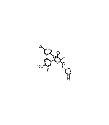 Cc1c(OC[C@H]2CCNC2)nc(-c2ccc(C#N)c(F)c2)n(-c2ccc(C3CC3)cc2)c1=O